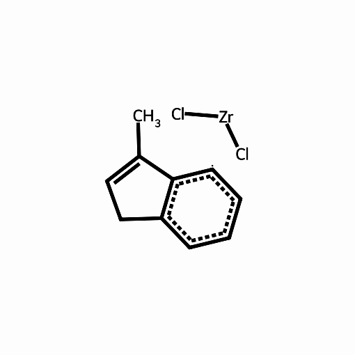 CC1=CCc2ccc[c]c21.[Cl][Zr][Cl]